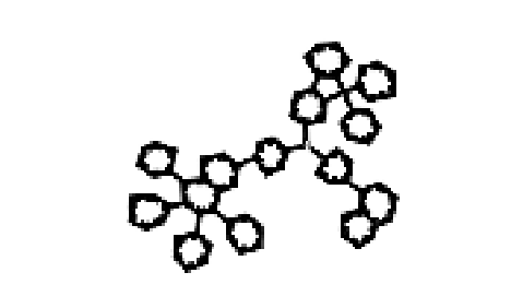 c1ccc(-c2c(-c3ccccc3)c(-c3ccccc3)c3cc(-c4ccc(N(c5ccc(-c6cccc7ccccc67)cc5)c5ccc6c(c5)C(c5ccccc5)(c5ccccc5)c5ccccc5-6)cc4)ccc3c2-c2ccccc2)cc1